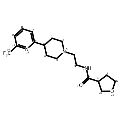 O=C(NCCN1CCC(c2cccc(C(F)(F)F)n2)CC1)C1CCOC1